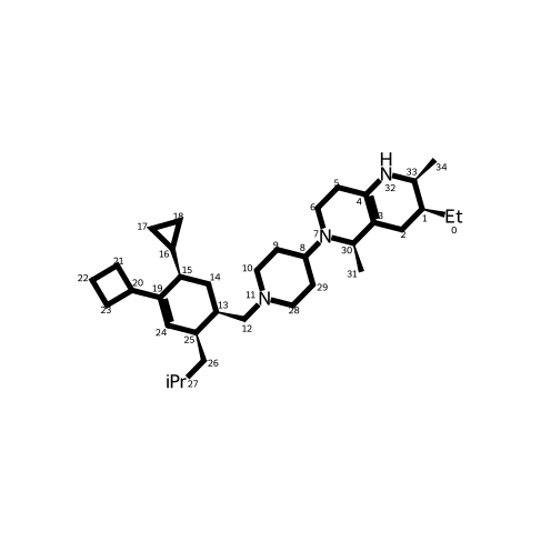 CC[C@H]1CC2=C(CCN(C3CCN(C[C@@H]4C[C@H](C5CC5)C(C5CCC5)=C[C@@H]4CC(C)C)CC3)[C@@H]2C)N[C@H]1C